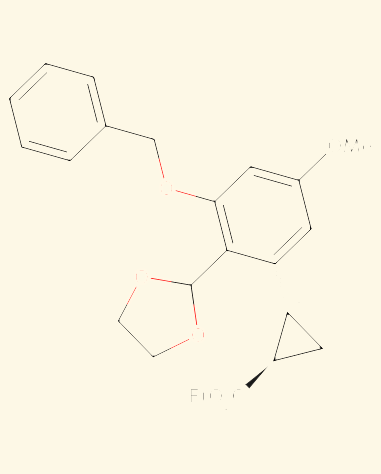 CCOC(=O)[C@@H]1C[C@H]1c1cc(OC)cc(OCc2ccccc2)c1C1OCCO1